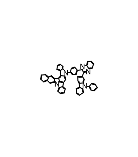 c1ccc(-n2c3ccccc3c3ccc(-c4nc5ccccc5nc4-c4ccc(-n5c6ccccc6c6c7c8cc9ccccc9cc8n8c9ccccc9c(cc65)c78)cc4)cc32)cc1